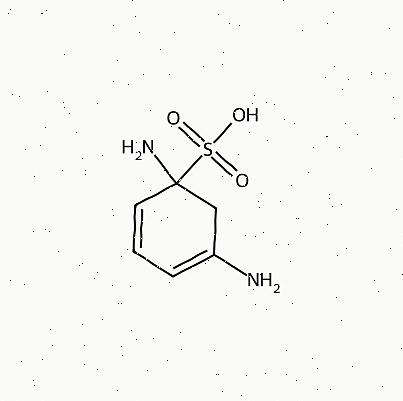 NC1=CC=CC(N)(S(=O)(=O)O)C1